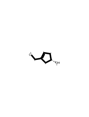 O[C@H]1CC=C(CCl)C1